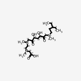 CCC(CC)CCN(C)CC(=O)[C@@H](O)C[C@@H](O)C(=O)CN(C)CCN(C)CC(=O)O